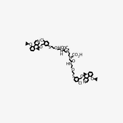 O=C(O)CN(CCN(CC(=O)O)CC(=O)NCCOCCSc1ccc(Cl)c(COC2(c3cnccc3-c3ccccc3OC3CC3)CC2)c1)CC(=O)NCCOCCSc1ccc(Cl)c(COC2(c3cnccc3-c3ccccc3OC3CC3)CC2)c1